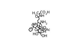 CC(=O)N[C@@H](C=O)[C@@H](OC(C(=O)NC(CCC(=O)NC(C)C(=O)O)C(N)=O)C(=O)N1CCCC1)[C@H](O)[C@H](O)CO